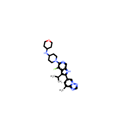 Cc1cc(-c2[nH]c3cnc(N4CCC(NC5CCOCC5)CC4)c(F)c3c2C(C)C)cn2ncnc12